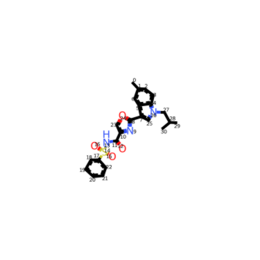 Cc1ccc2c(c1)c(-c1nc(C(=O)NS(=O)(=O)c3ccccc3)co1)cn2CC(C)C